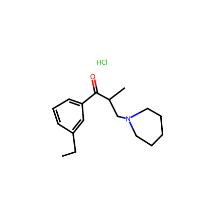 CCc1cccc(C(=O)C(C)CN2CCCCC2)c1.Cl